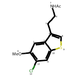 COc1cc2c(CCNC(C)=O)csc2cc1Cl